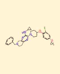 COc1ccc(OC2CCN(c3nc4c(nc3NC3CC3)CN(Cc3ccccc3)CC4)CC2)c(F)c1